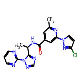 CC(NC(=O)c1cc(-n2ccc(Cl)n2)nc(C(F)(F)F)c1)c1ncnn1-c1ncccn1